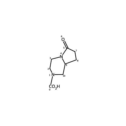 O=C(O)N1CCN2C(=O)CCC2C1